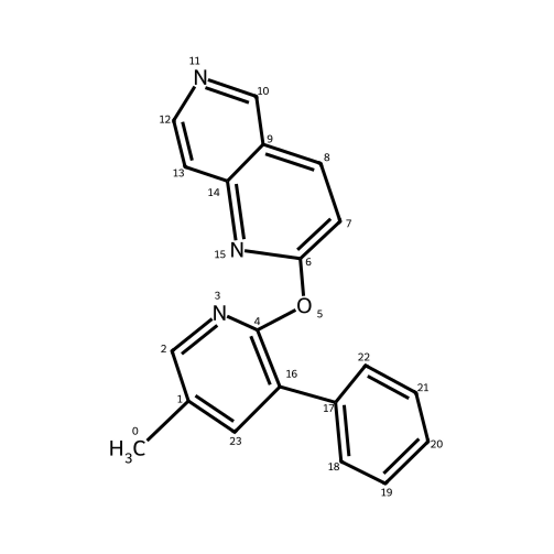 Cc1cnc(Oc2ccc3cnccc3n2)c(-c2ccccc2)c1